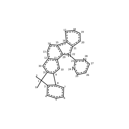 CC1(C)c2ccccc2-c2cc3c(ccc4c5ccccc5n(-c5ncccn5)c34)cc21